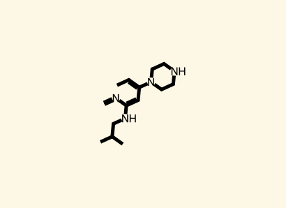 C=N/C(=C\C(=C/C)N1CCNCC1)NCC(C)C